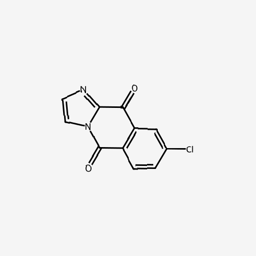 O=C1c2cc(Cl)ccc2C(=O)n2ccnc21